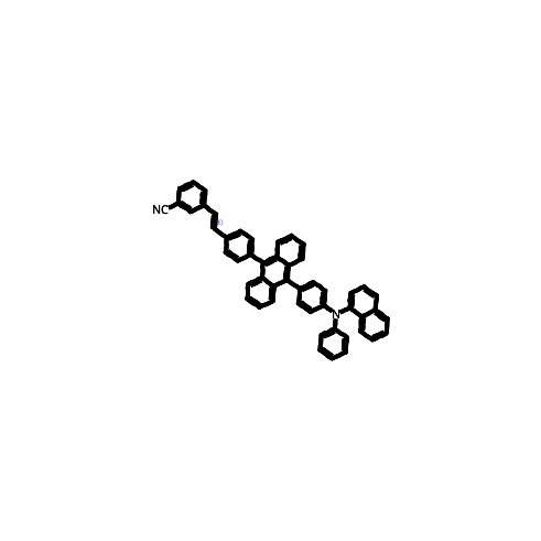 N#Cc1cccc(/C=C/c2ccc(-c3c4ccccc4c(-c4ccc(N(c5ccccc5)c5cccc6ccccc56)cc4)c4ccccc34)cc2)c1